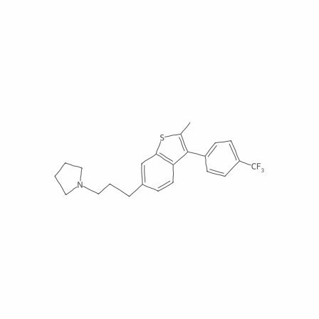 Cc1sc2cc(CCCN3CCCC3)ccc2c1-c1ccc(C(F)(F)F)cc1